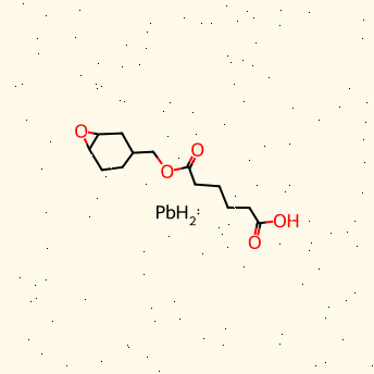 O=C(O)CCCCC(=O)OCC1CCC2OC2C1.[PbH2]